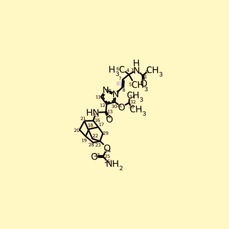 CC(=O)NC(C)(C)/C=C/n1ncc(C(=O)NC2C3CC4CC2CC(OC(N)=O)(C4)C3)c1OC(C)C